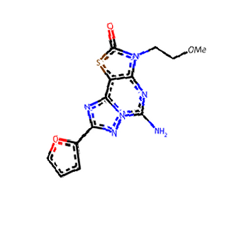 COCCn1c(=O)sc2c1nc(N)n1nc(-c3ccco3)nc21